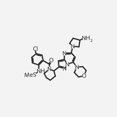 CSNc1ccc(Cl)cc1C(=O)N1CCCCC1c1cc2nc(N3CCC(N)C3)cc(N3CCOCC3)n2n1